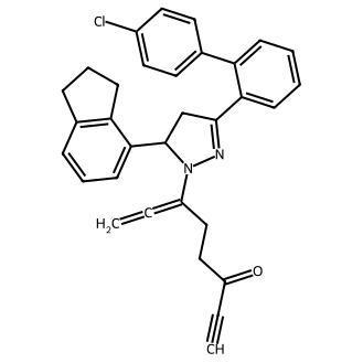 C#CC(=O)CCC(=C=C)N1N=C(c2ccccc2-c2ccc(Cl)cc2)CC1c1cccc2c1CCC2